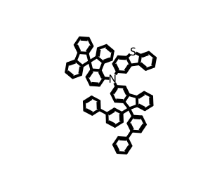 c1ccc(-c2cccc(C3(c4cccc(-c5ccccc5)c4)c4ccccc4-c4cc(N(c5ccc6sc7ccccc7c6c5)c5cccc6c5-c5ccccc5C65c6ccccc6-c6ccccc65)ccc43)c2)cc1